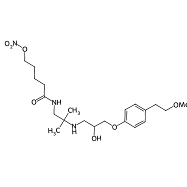 COCCc1ccc(OCC(O)CNC(C)(C)CNC(=O)CCCCO[N+](=O)[O-])cc1